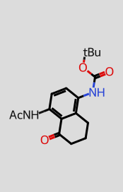 CC(=O)Nc1ccc(NC(=O)OC(C)(C)C)c2c1C(=O)CCC2